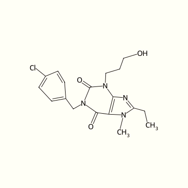 CCc1nc2c(c(=O)n(Cc3ccc(Cl)cc3)c(=O)n2CCCO)n1C